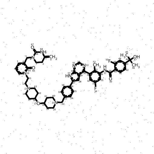 C=C1CCN(Cc2cccn(CCN3CCC(OC4CCN(Cc5ccc(-c6cc7c(-c8cc(F)cc(NC(=O)c9ccc(C(C)(C)O)cc9F)c8C)ncnc7[nH]6)cc5)CC4)CC3)c2=O)C(=O)N1